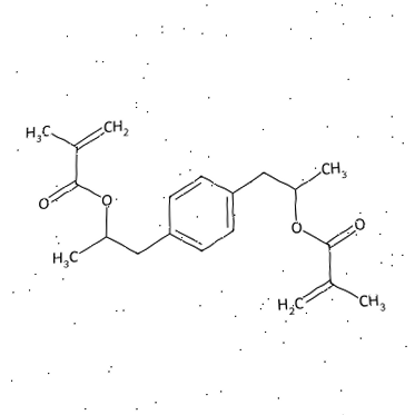 C=C(C)C(=O)OC(C)Cc1ccc(CC(C)OC(=O)C(=C)C)cc1